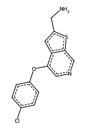 NCc1cc2c(Oc3ccc(Cl)cc3)cncc2s1